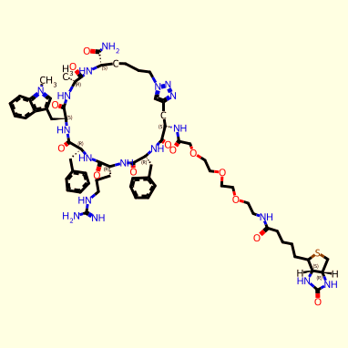 C[C@H]1NC(=O)[C@H](Cc2cn(C)c3ccccc23)NC(=O)[C@@H](Cc2ccccc2)NC(=O)[C@@H](CCCNC(=N)N)NC(=O)[C@@H](Cc2ccccc2)NC(=O)[C@@H](NC(=O)COCCOCCOCCNC(=O)CCCCC2SC[C@@H]3NC(=O)N[C@H]23)Cc2cn(nn2)CCCC[C@@H](C(N)=O)NC1=O